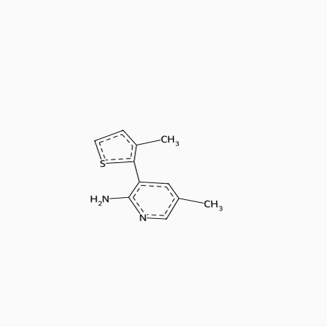 Cc1cnc(N)c(-c2sccc2C)c1